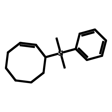 C[Si](C)(c1ccccc1)C1/C=C\CCCCC1